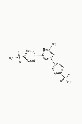 CS(=O)(=O)c1ncc(-c2cc(-c3cnc(S(C)(=O)=O)nc3)nc(N)n2)cn1